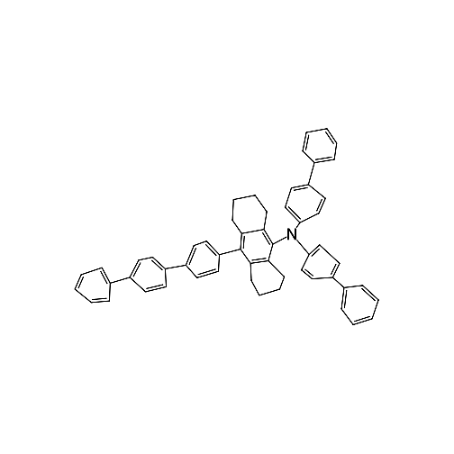 c1ccc(-c2ccc(-c3ccc(-c4c5c(c(N(c6ccc(-c7ccccc7)cc6)c6ccc(-c7ccccc7)cc6)c6c4CCCC6)CCCC5)cc3)cc2)cc1